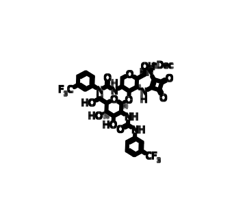 CCCCCCCCCCNc1c(N[C@H]2C(CO)OCC(NC(=O)Nc3cccc(C(F)(F)F)c3)C2O[C@@H]2OC(CO)[C@@H](O)C(O)C2NC(=O)Nc2cccc(C(F)(F)F)c2)c(=O)c1=O